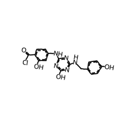 O=C(Cl)c1ccc(Nc2nc(O)nc(NCc3ccc(O)cc3)n2)cc1O